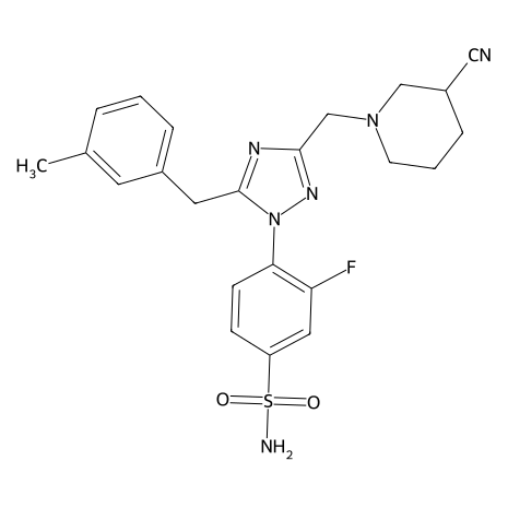 Cc1cccc(Cc2nc(CN3CCCC(C#N)C3)nn2-c2ccc(S(N)(=O)=O)cc2F)c1